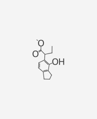 CCC(C(=O)OC)c1ccc2c(c1O)CCC2